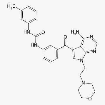 Cc1cccc(NC(=O)Nc2cccc(C(=O)c3cn(CCN4CCOCC4)c4ncnc(N)c34)c2)c1